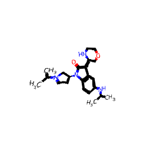 CC(C)Nc1ccc2c(c1)/C(=C1\COCCN1)C(=O)N2[C@H]1CCN(C(C)C)C1